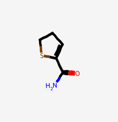 NC(=O)C1=CCCS1